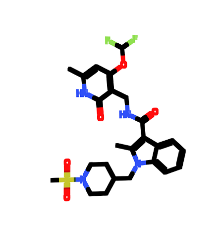 Cc1cc(OC(F)F)c(CNC(=O)c2c(C)n(CC3CCN(S(C)(=O)=O)CC3)c3ccccc23)c(=O)[nH]1